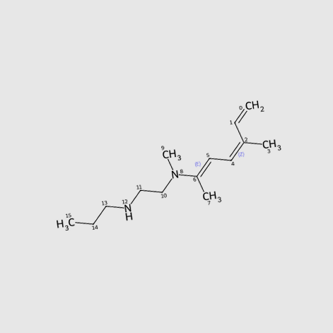 C=C/C(C)=C\C=C(/C)N(C)CCNCCC